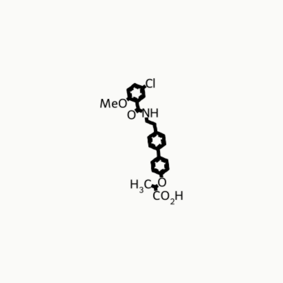 COc1ccc(Cl)cc1C(=O)NCCc1ccc(-c2ccc(OC(C)C(=O)O)cc2)cc1